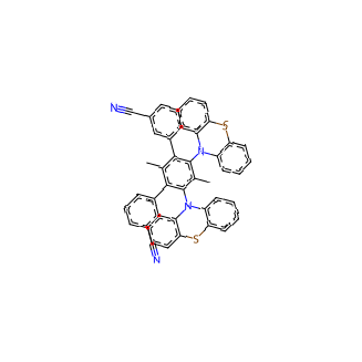 Cc1c(-c2cccc(C#N)c2)c(N2c3ccccc3Sc3ccccc32)c(C)c(N2c3ccccc3Sc3ccccc32)c1-c1cccc(C#N)c1